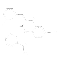 NC(=O)c1cccnc1.O=C1Nc2ccc(C(=O)O)cc2C(=O)/C1=C/c1cccc(F)c1